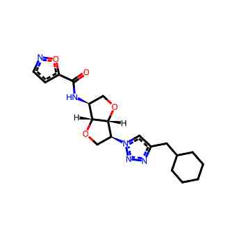 O=C(N[C@H]1CO[C@H]2[C@@H]1OC[C@@H]2n1cc(CC2CCCCC2)nn1)c1ccno1